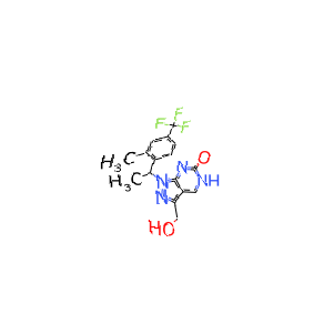 Cc1cc(C(F)(F)F)ccc1C(C)n1nc(CO)c2c[nH]c(=O)nc21